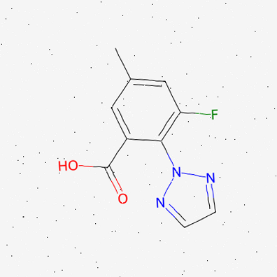 Cc1cc(F)c(-n2nccn2)c(C(=O)O)c1